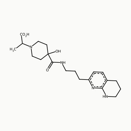 CC(C(=O)O)N1CCC(O)(C(=O)NCCCc2ccc3c(n2)NCCC3)CC1